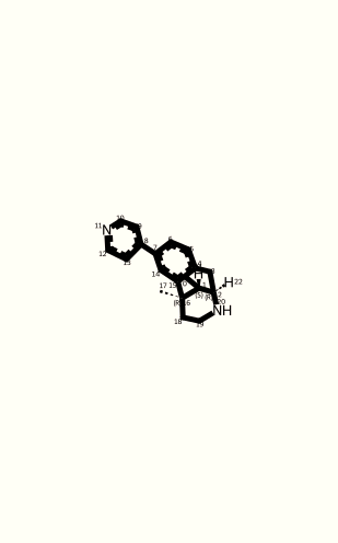 C[C@@H]1[C@H]2Cc3ccc(-c4ccncc4)cc3[C@]1(C)CCN2